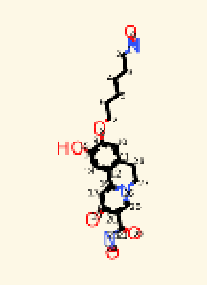 O=NCCCCCCOc1cc2c(cc1O)-c1cc(=O)c(C(=O)N=O)cn1CC2